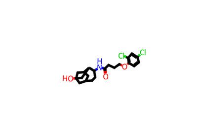 O=C(CCCOc1ccc(Cl)cc1Cl)NC1CCC2CC3CC(O)(C2)CC31